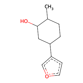 CC1CCC(c2ccoc2)CC1O